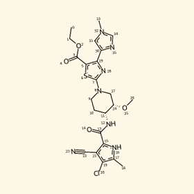 CCOC(=O)c1sc(N2CC[C@@H](NC(=O)c3[nH]c(C)c(Cl)c3C#N)[C@@H](OC)C2)nc1-c1cn(C)cn1